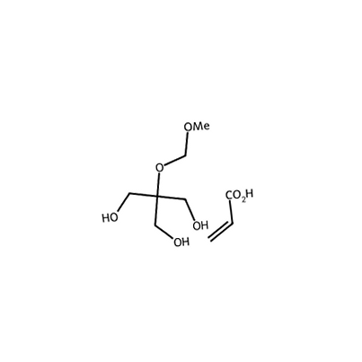 C=CC(=O)O.COCOC(CO)(CO)CO